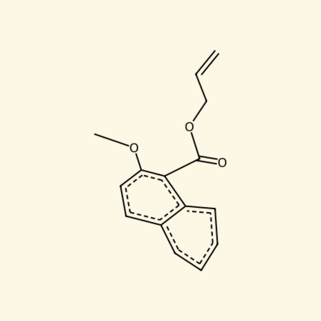 C=CCOC(=O)c1c(OC)ccc2ccccc12